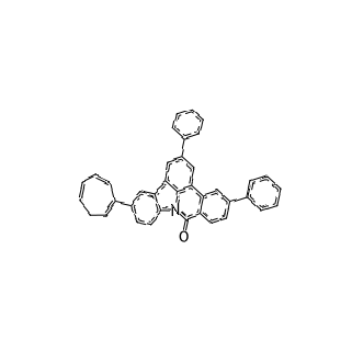 O=c1c2ccc(-c3ccccc3)cc2c2cc(-c3ccccc3)cc3c4cc(C5=CCC=CC=C5)ccc4n1c23